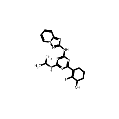 CC(C)Nc1nc(Nc2nc3ccccn3n2)nc(C2=C(F)C(O)CCC2)n1